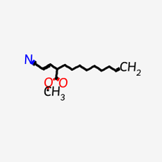 C=CCCCCCCCC(C=CC#N)C(=O)OC